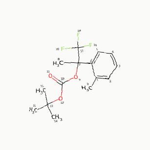 Cc1ccccc1C(C)(OC(=O)OC(C)(C)C)C(F)(F)F